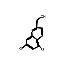 OCc1ccc2c(Cl)cc(Cl)cc2n1